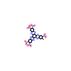 Cc1cc2nc3c(nc2cc1[N+](=O)[O-])c1nc2cc([N+](=O)[O-])c([N+](=O)[O-])cc2nc1c1nc2cc([N+](=O)[O-])c([N+](=O)[O-])cc2nc31